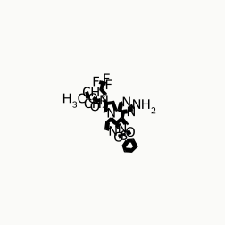 CC(C)(C)OC(=O)N(CCC(F)(F)F)C1CCN(c2ccnc3c2c(-c2ccnc(N)n2)cn3S(=O)(=O)c2ccccc2)C1